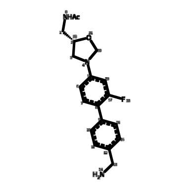 CC(=O)NC[C@H]1CN(c2ccc(-c3ccc(CN)cc3)c(F)c2)CO1